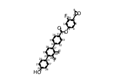 O=C(Oc1ccc(C2CO2)c(F)c1)c1ccc(-c2ccc(-c3ccc(O)cc3)c(F)c2F)cc1